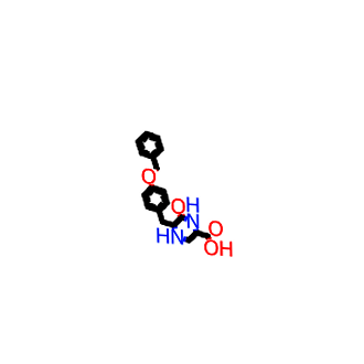 O=C(O)C1CNC(Cc2ccc(OCc3ccccc3)cc2)C(=O)N1